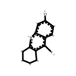 Fc1c2c(nc3cc(Cl)ccc13)CCCC2